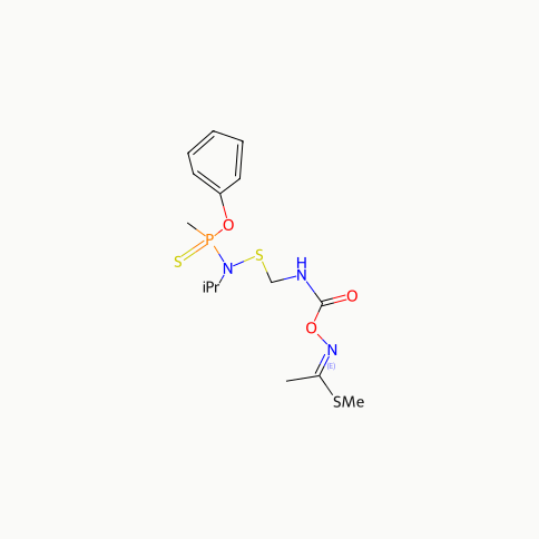 CS/C(C)=N/OC(=O)NCSN(C(C)C)P(C)(=S)Oc1ccccc1